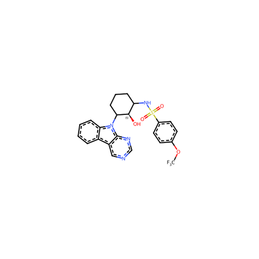 O=S(=O)(NC1CCCC(n2c3ccccc3c3cncnc32)[C@@H]1O)c1ccc(OC(F)(F)F)cc1